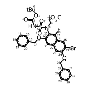 CC(C)(C)OC(=O)NS(=O)(=O)N(CC(=O)O)c1c(OCc2ccccc2)cc2cc(OCc3ccccc3)c(Br)cc2c1F